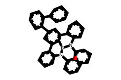 c1ccc(-c2ccccc2-c2cc3c4c(c2)-c2ccccc2N(c2ccccc2)B4N(c2ccccc2)c2ccccc2-3)cc1